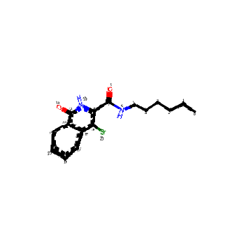 CCCCCCNC(=O)c1[nH]c(=O)c2ccccc2c1Br